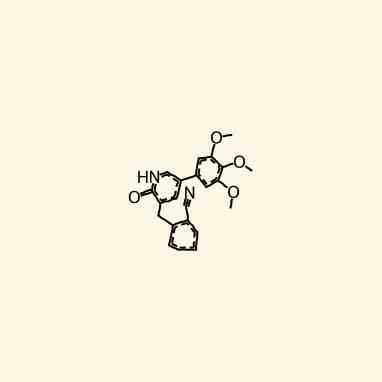 COc1cc(-c2c[nH]c(=O)c(Cc3ccccc3C#N)c2)cc(OC)c1OC